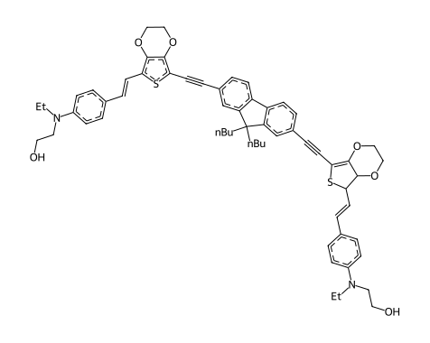 CCCCC1(CCCC)c2cc(C#CC3=C4OCCOC4C(/C=C/c4ccc(N(CC)CCO)cc4)S3)ccc2-c2ccc(C#Cc3sc(/C=C/c4ccc(N(CC)CCO)cc4)c4c3OCCO4)cc21